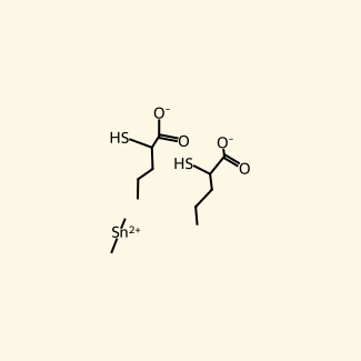 CCCC(S)C(=O)[O-].CCCC(S)C(=O)[O-].[CH3][Sn+2][CH3]